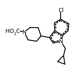 O=C(O)N1CCC(c2cn(CC3CC3)c3ccc(Cl)cc23)CC1